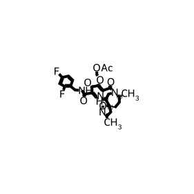 CC(=O)OCOc1c2n(cc(C(=O)NCc3ccc(F)cc3F)c1=O)[C@@H]1CN(C2=O)[C@@H](C)CC[C@]12CC(C)=NO2